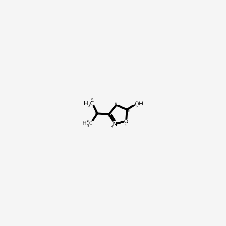 CC(C)C1=NOC(O)C1